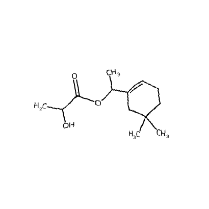 CC(O)C(=O)OC(C)C1=CCCC(C)(C)C1